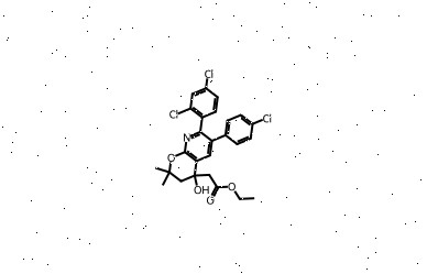 CCOC(=O)CC1(O)CC(C)(C)Oc2nc(-c3ccc(Cl)cc3Cl)c(-c3ccc(Cl)cc3)cc21